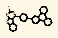 Clc1nc(-c2ccc(-c3ccc4c5ccccc5c5ccccc5c4c3)cc2)c2c(n1)sc1ccccc12